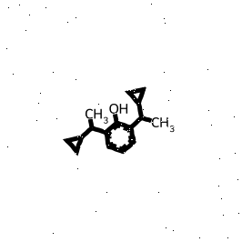 CC(c1cccc(C(C)C2CC2)c1O)C1CC1